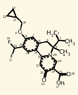 CC(C)C1(C)Cc2cc(OCC3CC3)c(C(F)F)cc2-c2cc(=O)c(C(=O)O)cn21